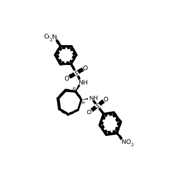 O=[N+]([O-])c1ccc(S(=O)(=O)N[C@@H]2CCCCC[C@H]2NS(=O)(=O)c2ccc([N+](=O)[O-])cc2)cc1